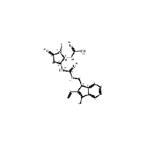 C=CC1=C(C)c2ccccc2C1COC(=O)N[C@H]1CC(=O)N(C)[C@@H]1CC(=O)O